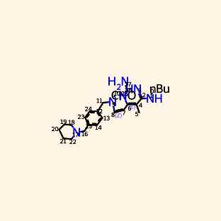 CCCCNC(=N)/C(C)=C(/C=C\N(C=O)Cc1ccc(CN2CCCCC2)cc1)\N=C\N